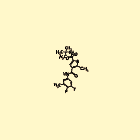 Cc1cc(NC(=O)c2cc(S(=O)(=O)NC(C)(C)C)sc2C)cc(F)c1F